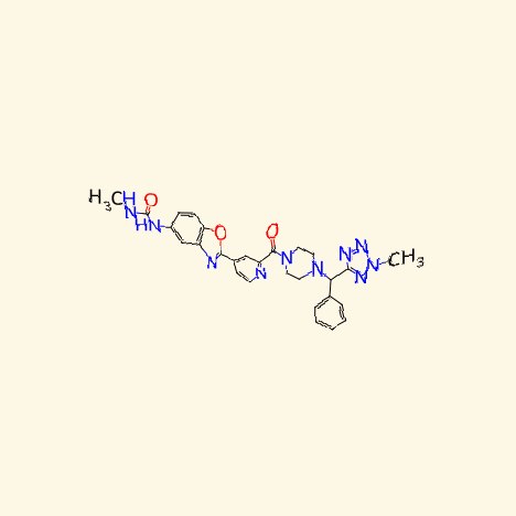 CNC(=O)Nc1ccc2oc(-c3ccnc(C(=O)N4CCN(C(c5ccccc5)c5nnn(C)n5)CC4)c3)nc2c1